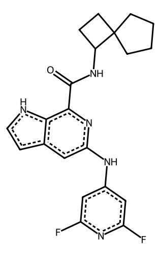 O=C(NC1CCC12CCCC2)c1nc(Nc2cc(F)nc(F)c2)cc2cc[nH]c12